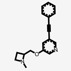 CN1CCC1COc1cncc(C#Cc2ccccc2)c1